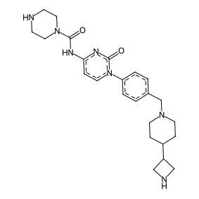 O=C(Nc1ccn(-c2ccc(CN3CCC(C4CNC4)CC3)cc2)c(=O)n1)N1CCNCC1